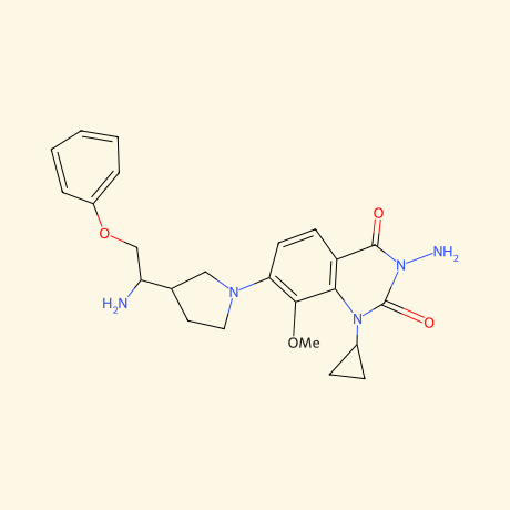 COc1c(N2CCC(C(N)COc3ccccc3)C2)ccc2c(=O)n(N)c(=O)n(C3CC3)c12